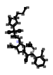 N=C1CN(C(=O)[C@H](CO)c2ccccc2F)C/C1=C/NS(=O)(=O)c1cnn(CCF)c1